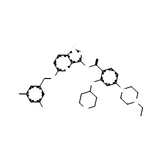 CCN1CCN(c2ccc(C(=O)Nc3n[nH]c4ccc(OCc5cc(F)cc(F)c5)nc34)c(NC3CCOCC3)c2)CC1